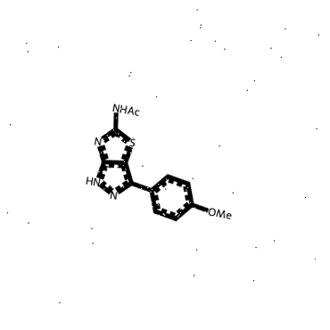 COc1ccc(-c2n[nH]c3nc(NC(C)=O)sc23)cc1